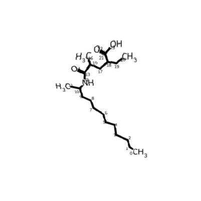 CCCCCCCCCCC(C)NC(=O)C(C)CC(CC)C(=O)O